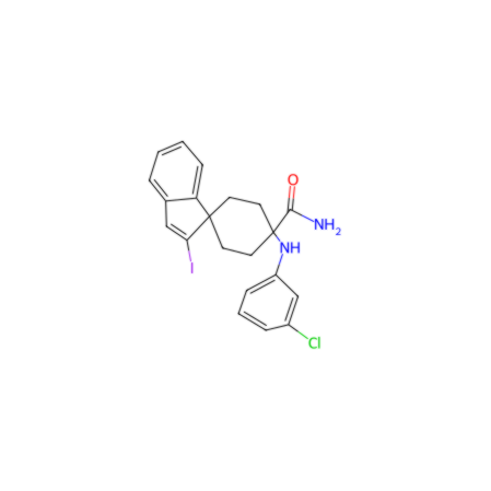 NC(=O)C1(Nc2cccc(Cl)c2)CCC2(CC1)C(I)=Cc1ccccc12